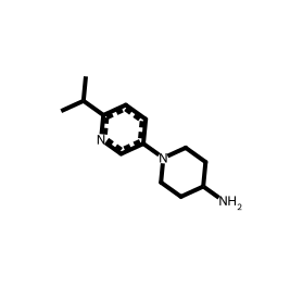 CC(C)c1ccc(N2CCC(N)CC2)cn1